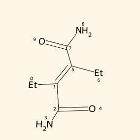 CC/C(C(N)=O)=C(/CC)C(N)=O